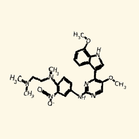 COc1cnc(Nc2ccc(N(C)CCN(C)C)c([N+](=O)[O-])c2)nc1-c1c[nH]c2c(OC)cccc12